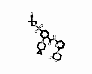 C[C@@H]1CN(c2cccc(NC(=O)c3ccc(S(=O)(=O)N4CC(C)(C#N)C4)cc3N3CCC4(CC3)CC4)n2)CCO1